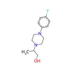 CC(CO)N1CCN(c2ccc(F)cc2)CC1